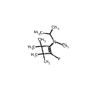 CC(C)N(C)C1=C(F)C(C)(C)C1(C)C